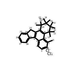 Cc1cccc2c3c(c4c(c12)C(C)(C)C(C)(C)C(C)(C)[C]4(C)[Ti+2])Cc1ccccc1-3.[Cl-].[Cl-]